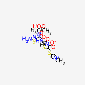 C[n+]1ccc(SCC2=C(C(=O)[O-])N3C(=O)[C@@H](NC(=O)/C(=N\OC(C)(C)C(=O)O)c4csc(N)n4)[C@H]3SC2)cc1